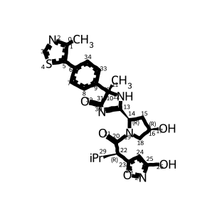 Cc1ncsc1-c1ccc([C@]2(C)NC([C@H]3C[C@@H](O)CN3C(=O)[C@@H](c3cc(O)no3)C(C)C)=NC2=O)cc1